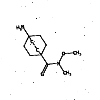 CON(C)C(=O)C12CCC(N)(CC1)CC2